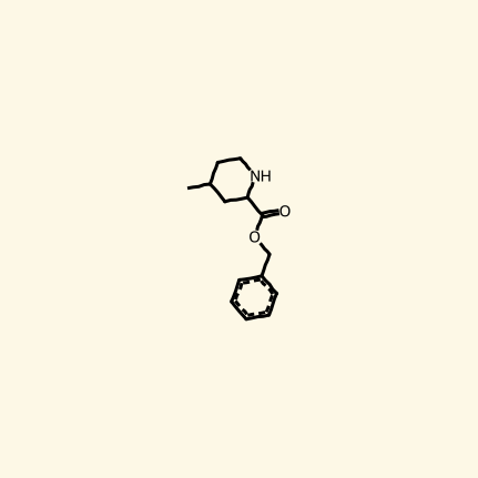 CC1CCNC(C(=O)OCc2ccccc2)C1